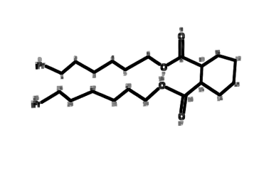 CC(C)CCCCCCOC(=O)C1CCCCC1C(=O)OCCCCCCC(C)C